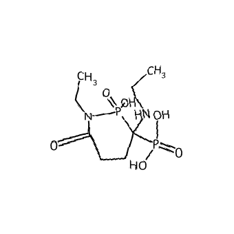 CCNC1(P(=O)(O)O)CCC(=O)N(CC)P1(=O)O